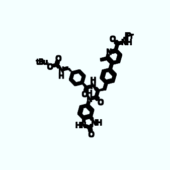 Cc1nc(C(=O)NC(C)C)ccc1-c1ccc(C[C@H](NC(=O)[C@H]2CC[C@H](CNC(=O)OC(C)(C)C)CC2)C(=O)Nc2ccc3[nH]c(=O)[nH]c3c2)cc1